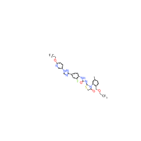 Cc1ccc(COCC(F)(F)F)c(N2C(=O)CSC2=NC(=O)Nc2ccc(-c3ncn(-c4ccc(OCC(F)(F)F)nc4)n3)cc2F)c1